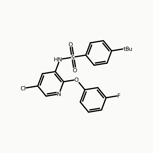 CC(C)(C)c1ccc(S(=O)(=O)Nc2cc(Cl)cnc2Oc2cccc(F)c2)cc1